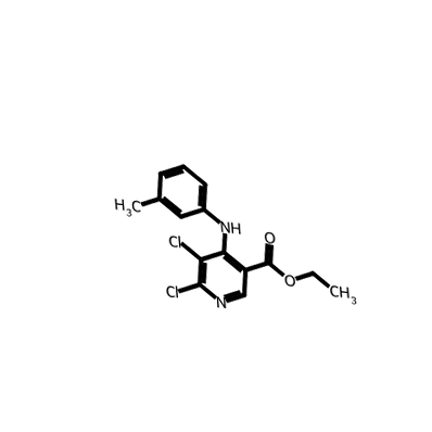 CCOC(=O)c1cnc(Cl)c(Cl)c1Nc1cccc(C)c1